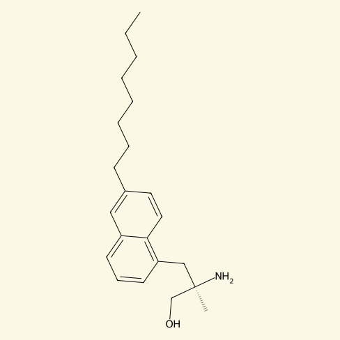 CCCCCCCCc1ccc2c(C[C@@](C)(N)CO)cccc2c1